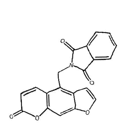 O=C1c2ccccc2C(=O)N1Cc1c2ccoc2cc2oc(=O)ccc12